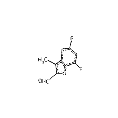 Cc1c(C=O)oc2c(F)cc(F)cc12